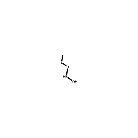 CSOBO